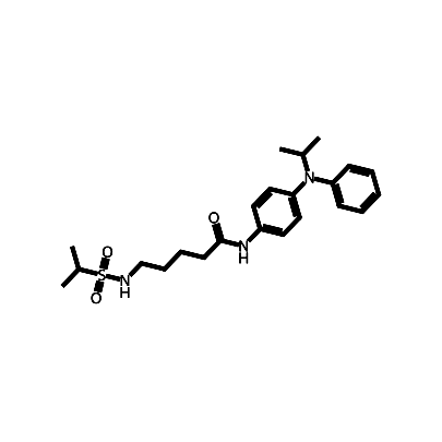 CC(C)N(c1ccccc1)c1ccc(NC(=O)CCCCNS(=O)(=O)C(C)C)cc1